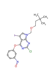 C[Si](C)(C)CCOCn1cc(I)c2c(Oc3cccc(N=O)c3)nc(Cl)nc21